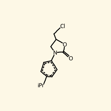 CC(C)c1ccc(N2CC(CCl)OC2=O)cc1